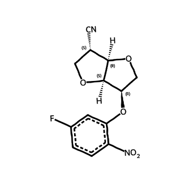 N#C[C@H]1CO[C@H]2[C@@H]1OC[C@H]2Oc1cc(F)ccc1[N+](=O)[O-]